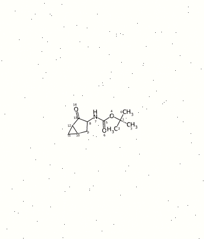 CC(C)(C)OC(=O)NC1CC2CC2C1=O